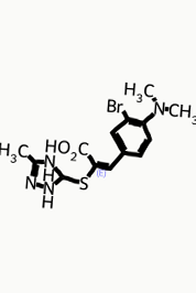 CC1=NNC(S/C(=C/c2ccc(N(C)C)c(Br)c2)C(=O)O)N1